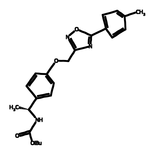 Cc1ccc(-c2nc(COc3ccc([C@@H](C)NC(=O)OCC(C)C)cc3)no2)cc1